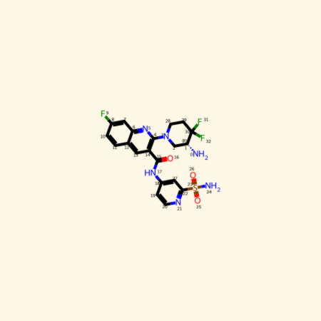 N[C@@H]1CN(c2nc3cc(F)ccc3cc2C(=O)Nc2ccnc(S(N)(=O)=O)c2)CCC1(F)F